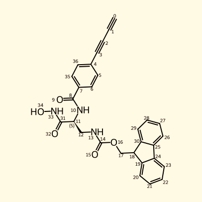 C#CC#Cc1ccc(C(=O)N[C@@H](CNC(=O)OCC2c3ccccc3-c3ccccc32)C(=O)NO)cc1